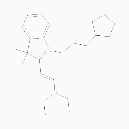 CCN(/C=C/C1=[N+](CCCC2CCCC2)c2ccccc2C1(C)C)CC